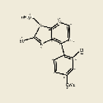 CCCCCCCn1c(CC)nc2c(-c3ccc(OC)cc3Cl)ncnc21